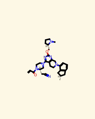 C=CC(=O)N1CCN(c2nc(OC[C@@H]3CCCN3C)nc3c2CCN(c2cccc4c2C[C@@H](C)C4)C3)C[C@@H]1CC#N